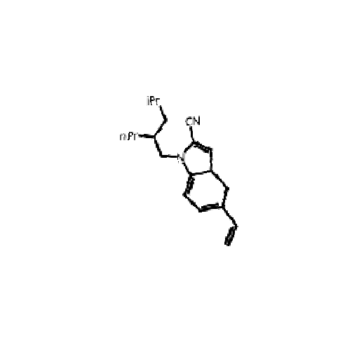 C=CC1=CC=C2C(C=C(C#N)N2CC(CCC)CC(C)C)C1